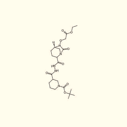 CCOC(=O)CON1C(=O)N2C[C@@H]1CCC2C(=O)NNC(=O)C1CCCN(C(=O)OC(C)(C)C)C1